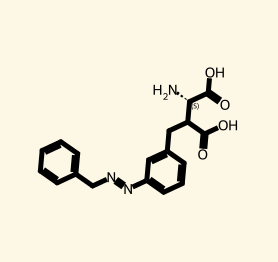 N[C@H](C(=O)O)C(Cc1cccc(N=NCc2ccccc2)c1)C(=O)O